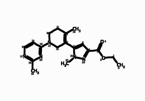 CCOC(=O)c1cc(C2=C(C)CCN(c3ccnc(C)n3)C2)n(C)n1